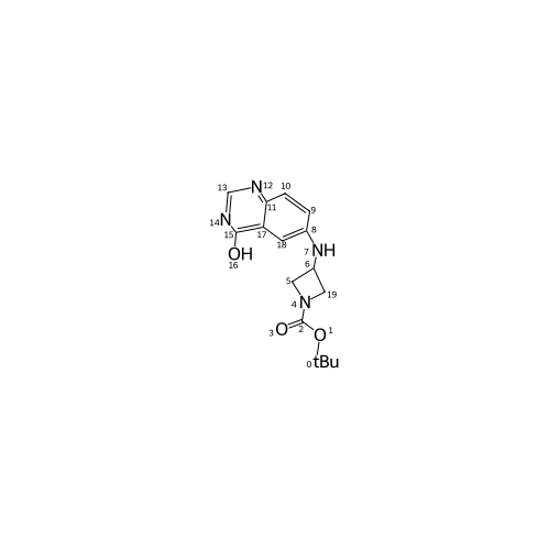 CC(C)(C)OC(=O)N1CC(Nc2ccc3ncnc(O)c3c2)C1